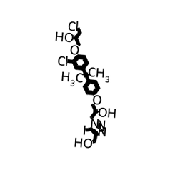 CC(C)(c1ccc(OC[C@H](O)Cn2nnc(CO)c2I)cc1)c1ccc(OC[C@H](O)CCl)c(Cl)c1